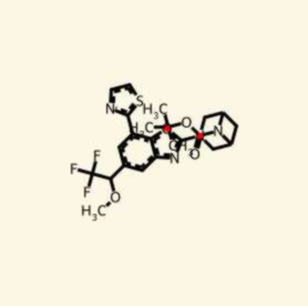 COC(c1cc(-c2nccs2)c2oc(N3CC4CC(C3)N4C(=O)OC(C)(C)C)nc2c1)C(F)(F)F